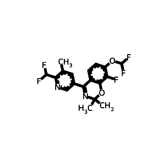 Cc1cc(C2=NC(C)(C)Oc3c2ccc(OC(F)F)c3F)cnc1C(F)F